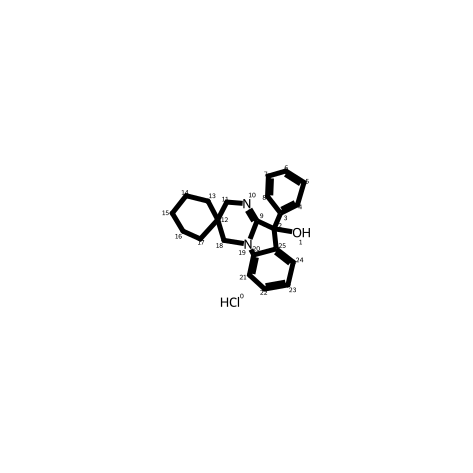 Cl.OC1(c2ccccc2)C2=NCC3(CCCCC3)CN2c2ccccc21